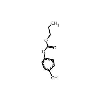 CCCOC(=O)Oc1ccc(O)cc1